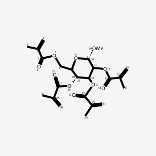 C=C(C)C(=O)OCC1O[C@H](OC)C(OC(=O)C(=C)C)C(OC(=O)C(=C)C)[C@@H]1OC(=O)C(=C)C